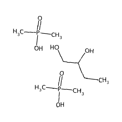 CCC(O)CO.CP(C)(=O)O.CP(C)(=O)O